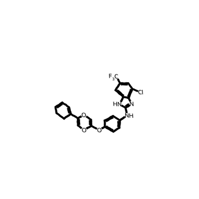 FC(F)(F)c1cc(Cl)c2nc(Nc3ccc(OC4=COC(C5=CC=CCC5)=CO4)cc3)[nH]c2c1